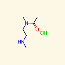 CNCCN(C)C(C)=O.Cl